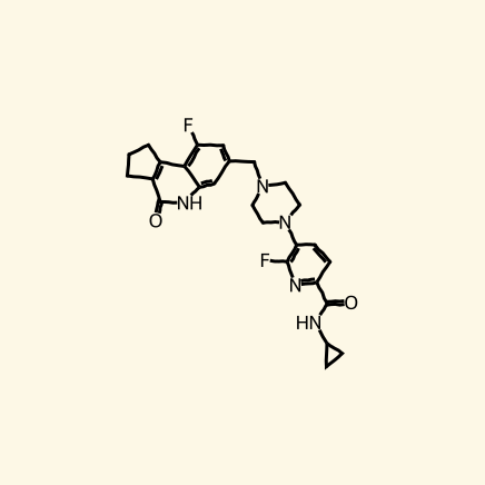 O=C(NC1CC1)c1ccc(N2CCN(Cc3cc(F)c4c5c(c(=O)[nH]c4c3)CCC5)CC2)c(F)n1